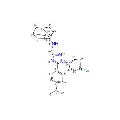 CC(C)c1ccc(-c2nc(CNC3C4CC5CC(C4)CC3C5)nn2-c2ccc(F)cc2)cc1